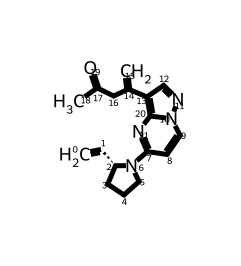 C=C[C@H]1CCCN1c1ccn2ncc(C(=C)CC(C)=O)c2n1